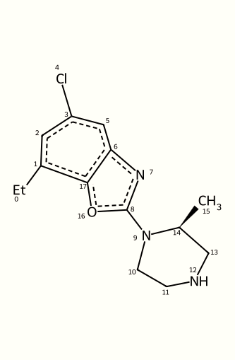 CCc1cc(Cl)cc2nc(N3CCNC[C@@H]3C)oc12